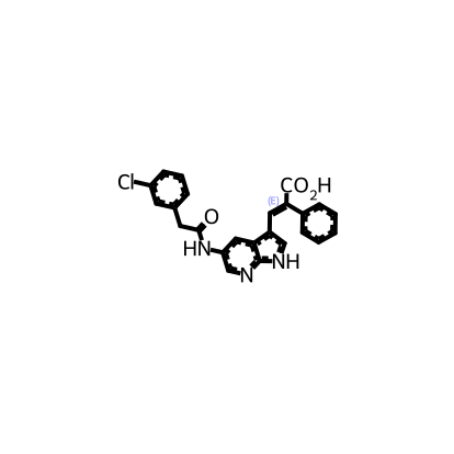 O=C(Cc1cccc(Cl)c1)Nc1cnc2[nH]cc(/C=C(/C(=O)O)c3ccccc3)c2c1